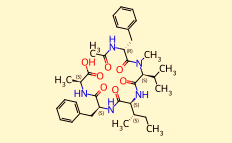 CC[C@H](C)[C@H](NC(=O)[C@H](C(C)C)N(C)C(=O)[C@@H](Cc1ccccc1)NC(C)=O)C(=O)N[C@@H](Cc1ccccc1)C(=O)N[C@@H](C)C(=O)O